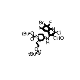 CC(C)(C)OC(=O)N1CC[C@H](Nc2c(C=O)c(Cl)nc3c(F)c(Br)c(I)cc23)C[C@H]1CCO[Si](C)(C)C(C)(C)C